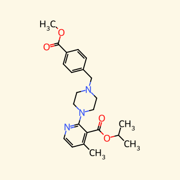 COC(=O)c1ccc(CN2CCN(c3nccc(C)c3C(=O)OC(C)C)CC2)cc1